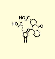 O=C(O)CCc1c[nH]cn1.O=C(O)c1ccc2c(c1)C(=O)c1ccccc1C2=O